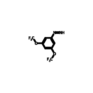 N=Nc1cc(OC(F)(F)F)cc(OC(F)(F)F)c1